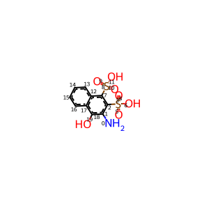 Nc1c(S(=O)(=O)O)c(S(=O)(=O)O)c2ccccc2c1O